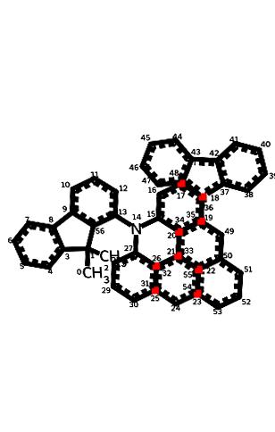 CC1(C)c2ccccc2-c2cccc(N(c3ccccc3-c3ccccc3)c3ccccc3-c3cc(-n4c5ccccc5c5ccccc54)cc4ccccc34)c21